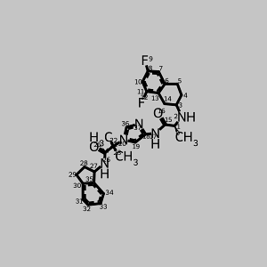 C[C@H](NC1CCc2cc(F)cc(F)c2C1)C(=O)Nc1cn(C(C)(C)C(=O)NC2CCc3ccccc32)cn1